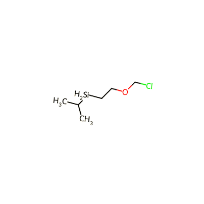 CC(C)[SiH2]CCOCCl